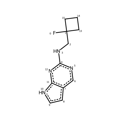 FC1(CNc2ncc3cc[nH]c3n2)CCC1